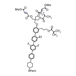 C=C(C)C(=O)OCCCc1cc(-c2ccc(-c3c(F)cc(-c4ccc(C5CCC(CCCCC)CC5)cc4)cc3F)cc2CC)ccc1OCC(COC(=O)/C=C/C(=O)OC)(COC(=O)/C=C/C(=O)OC)COC(=O)C(=C)C